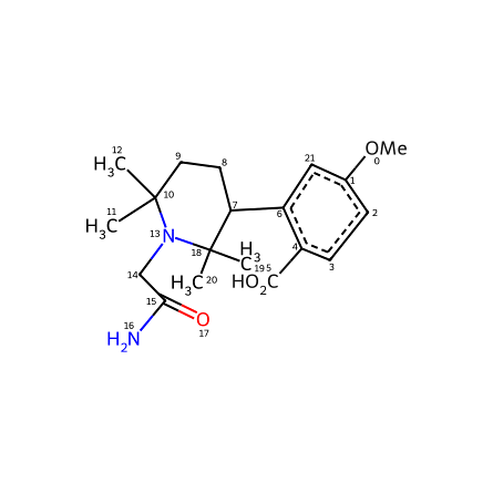 COc1ccc(C(=O)O)c(C2CCC(C)(C)N(CC(N)=O)C2(C)C)c1